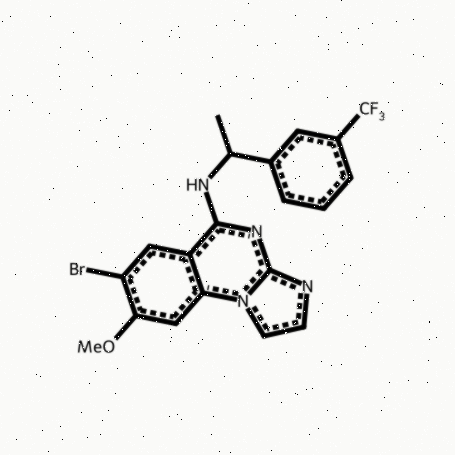 COc1cc2c(cc1Br)c(NC(C)c1cccc(C(F)(F)F)c1)nc1nccn12